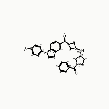 O=C(c1ccc2c(ccn2-c2ccc(C(F)(F)F)cc2)c1)N1CC(N[C@H]2CCN(C(=O)c3ccccc3)C2)C1